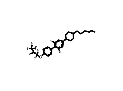 CCCCCCC1CCC(c2cc(F)c(-c3ccc(OC(F)(F)C(F)C(F)(F)F)cc3)c(F)c2)CC1